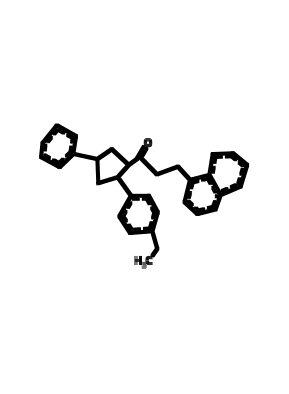 CCc1ccc(C2CC(c3ccccc3)CC2C(=O)CCc2cccc3ccccc23)cc1